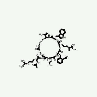 C=C(N)C1CCCNC(=O)CC[C@H](NC(=O)[C@H](CCCNC(=N)N)NC(C)=O)C(=O)N[C@@H](CCN)C(=O)N[C@H](Cc2ccccc2C#N)C(=O)N[C@@H](CCCNC(=N)N)C(=O)N[C@@H](Cc2c[nH]c3ccccc23)C(=O)N1